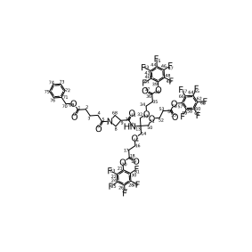 O=C(CCCC(=O)N1CC(C(=O)NC(COCCC(=O)Oc2c(F)c(F)c(F)c(F)c2F)(COCCC(=O)Oc2c(F)c(F)c(F)c(F)c2F)COCCC(=O)Oc2c(F)c(F)c(F)c(F)c2F)C1)OCc1ccccc1